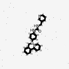 O=C(NCc1cccnc1)Nc1ccc(OCc2ccccc2-c2ccccn2)cc1